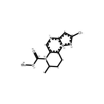 CC1CCc2c(cnc3cc(Cl)nn23)N1C(=O)OC(C)(C)C